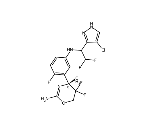 C[C@]1(c2cc(NC(c3n[nH]cc3Cl)C(F)F)ccc2F)N=C(N)OCC1(F)F